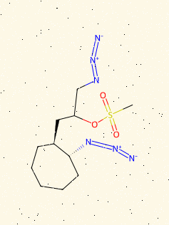 CS(=O)(=O)OC(CN=[N+]=[N-])C[C@@H]1CCCCC[C@H]1N=[N+]=[N-]